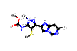 CCSc1c(-c2cn3cnc(C(F)(F)F)cc3n2)nn(C)c1NC(=O)OC(C)(C)C